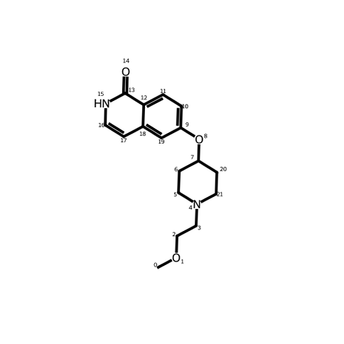 COCCN1CCC(Oc2ccc3c(=O)[nH]ccc3c2)CC1